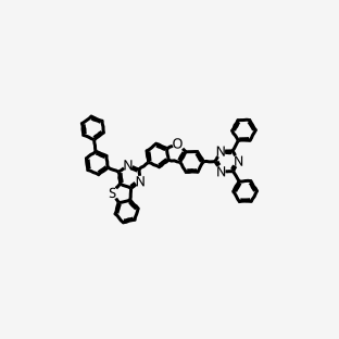 c1ccc(-c2cccc(-c3nc(-c4ccc5oc6cc(-c7nc(-c8ccccc8)nc(-c8ccccc8)n7)ccc6c5c4)nc4c3sc3ccccc34)c2)cc1